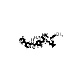 CC#CCN1CC2(CC2)C[C@H]1c1nc(-c2ccc(C(=O)Nc3cc(-c4cccnc4)ccn3)cc2F)c2c(N)nccn12